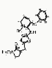 CN1CCC(Cc2csc(NC3=C(Sc4ccccc4)C=CCN3Br)n2)C1=O